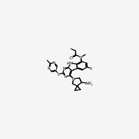 CCC(=O)N(C)c1cc(F)cc2c1[nH]c1nc(Oc3cnc(C)nc3)nc(N3CC(N)C4(CC4)C3)c12